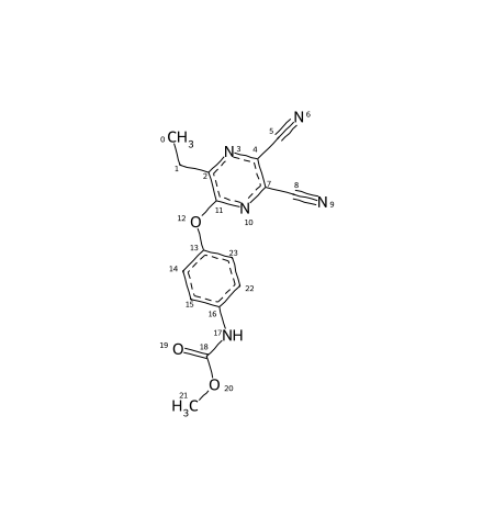 CCc1nc(C#N)c(C#N)nc1Oc1ccc(NC(=O)OC)cc1